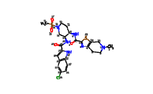 CN1CCc2nc(C(=O)N[C@@H]3CCN(S(C)(=O)=O)C[C@@H]3NC(=O)c3cc4cc(Cl)ccc4[nH]3)sc2C1